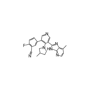 Cc1ccnc2[nH]c(-c3cncc(-c4ccc(F)c(C#N)c4)c3N3CCC(C)C3)nc12